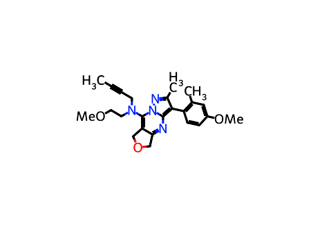 CC#CCN(CCOC)c1c2c(nc3c(-c4ccc(OC)cc4C)c(C)nn13)COC2